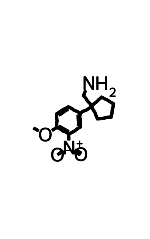 COc1ccc(C2(CN)CCCC2)cc1[N+](=O)[O-]